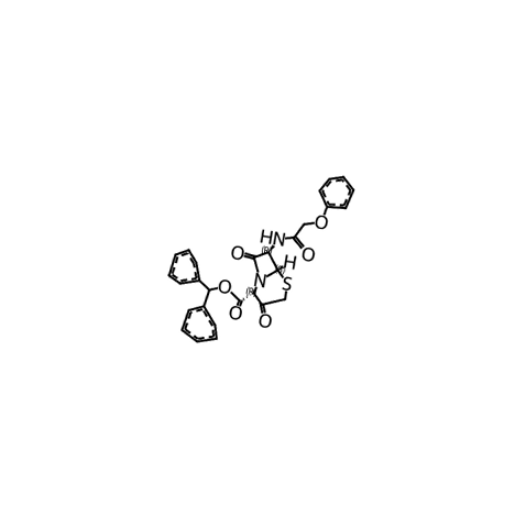 O=C(COc1ccccc1)N[C@@H]1C(=O)N2[C@@H](C(=O)OC(c3ccccc3)c3ccccc3)C(=O)CS[C@@H]12